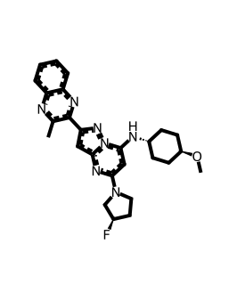 CO[C@H]1CC[C@H](Nc2cc(N3CC[C@@H](F)C3)nc3cc(-c4nc5ccccc5nc4C)nn23)CC1